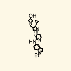 CCn1ccc2cc(Nc3nccc(-n4cc(CN5CC(O)C5)c(C5CC5)n4)n3)ccc21